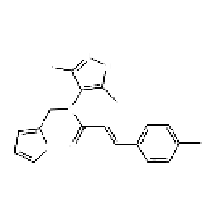 Cc1ccc(C=CC(=O)N(Cc2cccs2)c2c(C)n[nH]c2C)cc1